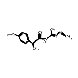 C=N/N=C(\C)NC(=O)C(C)c1ccc(OC)cc1